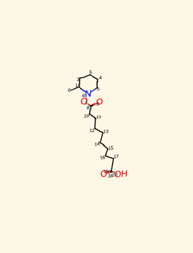 CC1CCCCN1OC(=O)CCCCCCCCC(=O)O